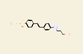 CS(=O)(=O)c1ccc(C=Cc2ccc(NCCCO)cc2)cc1